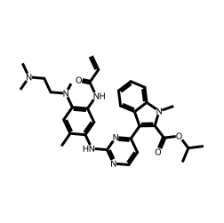 C=CC(=O)Nc1cc(Nc2nccc(-c3c(C(=O)OC(C)C)n(C)c4ccccc34)n2)c(C)cc1N(C)CCN(C)C